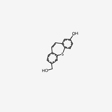 OCc1ccc2c(c1)Sc1ccc(O)cc1C=C2